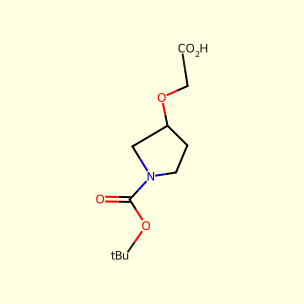 CC(C)(C)OC(=O)N1CCC(OCC(=O)O)C1